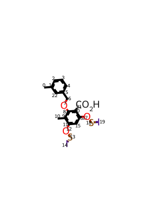 Cc1cccc(COc2c(C)c(OSI)cc(OSI)c2C(=O)O)c1